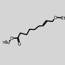 CCCCOC(=O)CCCCCC=CCOCC